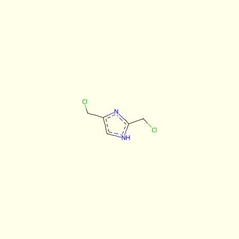 ClCc1c[nH]c(CCl)n1